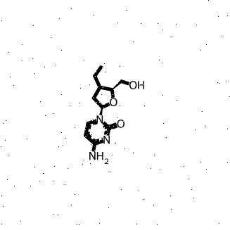 CCC1C[C@H](n2ccc(N)nc2=O)O[C@@H]1CO